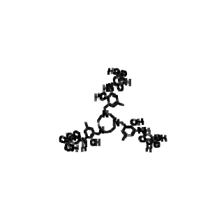 Cc1cc(CN2CCCN(Cc3cc(C)cc(NC(=O)CP(=O)(O)O)c3O)CCN(Cc3cc(C)cc(NC(=O)CP(=O)(O)O)c3O)CCC2)c(O)c(NC(=O)CP(=O)(O)O)c1